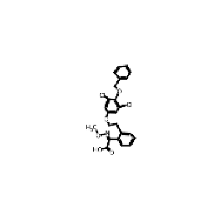 CON=C(C(=O)O)c1ccccc1CCOc1cc(Cl)c(OCc2ccccc2)c(Cl)c1